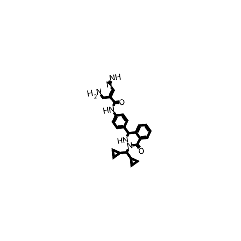 N=N/C=C(\CN)C(=O)Nc1ccc(C2NN(C(C3CC3)C3CC3)C(=O)c3ccccc32)cc1